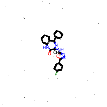 C[C@]1(Nc2nnc(-c3ccc(F)cc3)o2)N=C(c2ccccc2)c2ccccc2NC1=O